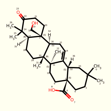 CC1(C)CC[C@]2(C(=O)O)CC[C@]3(C)C(=CC[C@@H]4[C@@]5(CO)CCC(=O)C(C)(C)[C@@H]5CC[C@]43C)[C@@H]2C1